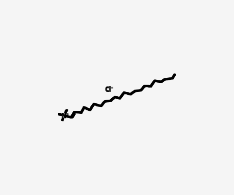 CCCCCCCCCCCCCCCCCCCCC=C[N+](C)(C)C.[Cl-]